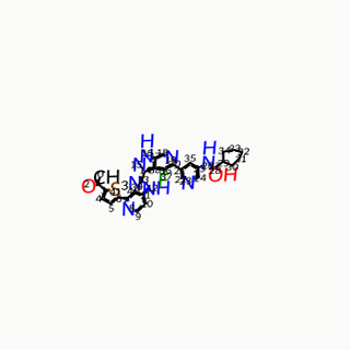 CC(=O)c1ccc(-c2nccc3[nH]c(-c4n[nH]c5cnc(-c6cncc(NC(O)C7CCCCC7)c6)c(F)c45)nc23)s1